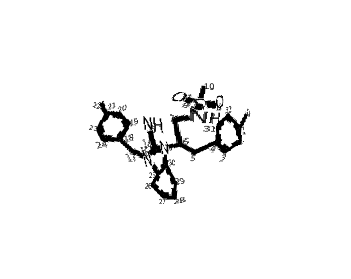 Cc1ccc(CC(CNS(C)(=O)=O)n2c(=N)n(Cc3ccc(C)cc3)c3ccccc32)cc1